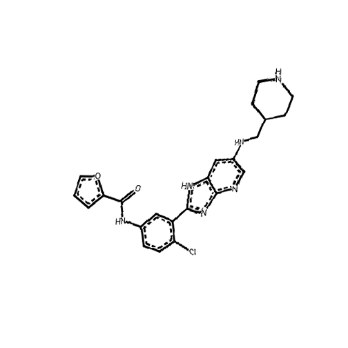 O=C(Nc1ccc(Cl)c(-c2nc3ncc(NCC4CCNCC4)cc3[nH]2)c1)c1ccco1